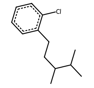 CC(C)C(C)CCc1ccccc1Cl